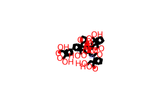 O=C(/C=C\C(=O)OC(=O)C1(C2CCCO2)C2C=CC(C2)C1(C(=O)O)C1CCCO1)OC(=O)C1(C2CCCO2)C2C=CC(C2)C1(C(=O)O)C1CCCO1.O=C(O)C1(CCO)CC2C=CC1C2.O=C(O)C1C2C=CC(C2)C1C(=O)O